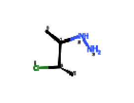 CC(NN)[C@H](C)Cl